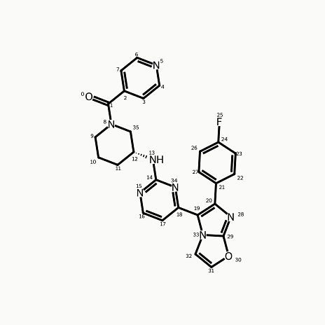 O=C(c1ccncc1)N1CCC[C@@H](Nc2nccc(-c3c(-c4ccc(F)cc4)nc4occn34)n2)C1